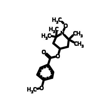 COc1ccc(C(=O)OC2CC(C)(C)N(OC)C(C)(C)C2)cc1